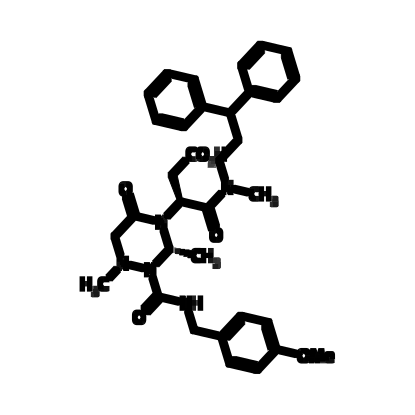 COc1ccc(CNC(=O)N2[C@@H](C)N([C@@H](CC(=O)O)C(=O)N(C)CCC(c3ccccc3)c3ccccc3)C(=O)CN2C)cc1